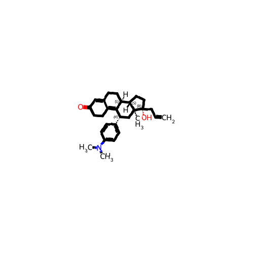 C=CC[C@]1(O)CC[C@H]2[C@@H]3CCC4=CC(=O)CCC4=C3[C@@H](c3ccc(N(C)C)cc3)C[C@@]21C